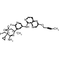 CC#CCOc1cnc2c(Nc3cnc(F)c([C@]4(C)CS(=O)(=O)[C@@](CF)(C5CC5)C(N)=N4)c3)nccc2n1